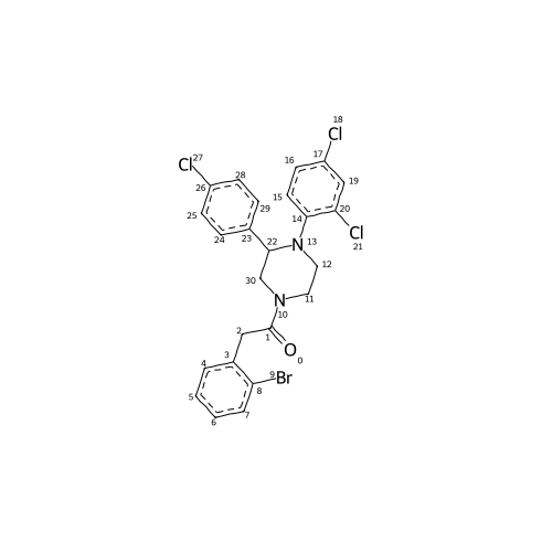 O=C(Cc1ccccc1Br)N1CCN(c2ccc(Cl)cc2Cl)C(c2ccc(Cl)cc2)C1